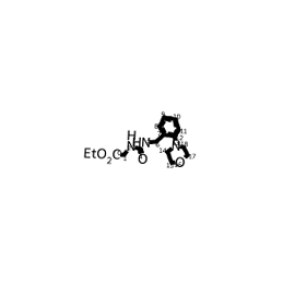 CCOC(=O)CNC(=O)NCc1ccccc1N1CCOCC1